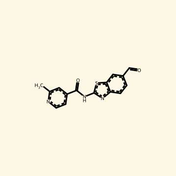 Cc1cc(C(=O)Nc2nc3ccc(C=O)cc3s2)ccn1